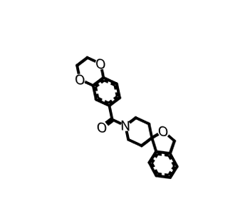 O=C(c1ccc2c(c1)OCCO2)N1CCC2(CC1)OCc1ccccc12